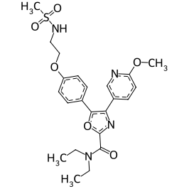 CCN(CC)C(=O)c1nc(-c2ccc(OC)nc2)c(-c2ccc(OCCNS(C)(=O)=O)cc2)o1